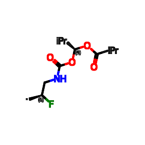 [CH2][C@H](F)CNC(=O)O[C@H](OC(=O)C(C)C)C(C)C